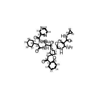 CCCC(NC(=O)[C@@H]1CC2(CC(=O)c3ccccc3O2)CN1C(=O)[C@@H](NC(=O)[C@@H](NC(=O)c1cnccn1)C1CCCCC1)C(C)(C)C)C(=O)C(=O)NC1CC1